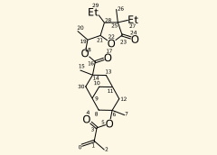 C=C(C)C(=O)OC1(C)CC2CC(C1)CC(C)(C(=O)OC(C)C1OC(=O)C(C)(CC)C1CC)C2